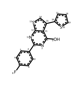 Oc1nc(-c2ccc(F)cc2)nc2scc(-c3cccs3)c12